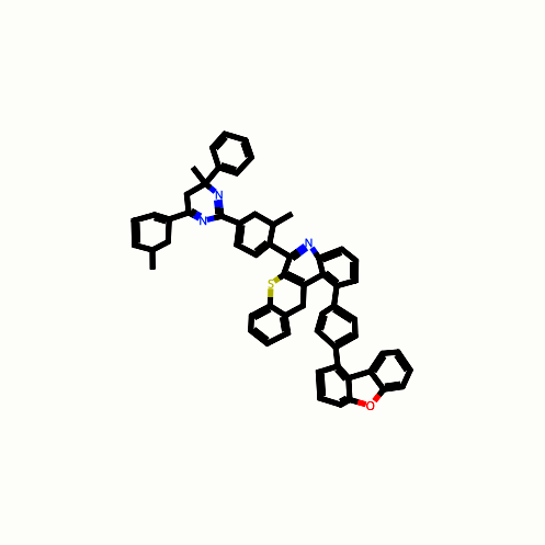 CC1C=CC=C(C2=NC(C3=CC=C(c4nc5cccc(-c6ccc(-c7cccc8oc9ccccc9c78)cc6)c5c5c4Sc4ccccc4C5)C(C)C3)=NC(C)(c3ccccc3)C2)C1